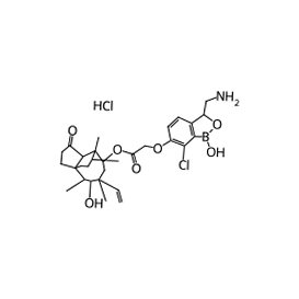 C=CC1(C)CC(OC(=O)COc2ccc3c(c2Cl)B(O)OC3CN)C2(C)C(C)CCC3(CCC(=O)C32)C(C)C1O.Cl